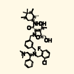 C[C@@H]1[C@@H](NC(=O)[C@@H]2[C@H]([C@H](C)O)[C@H](CO)ON2Cc2cccc(CN(Cc3c(F)cccc3Cl)[C@H](CN(C)C)c3ccccc3)c2)C[C@@H](C)C(C)(C)[C@H]1C